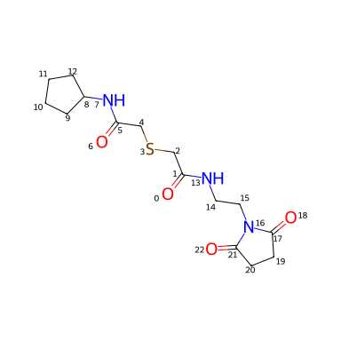 O=C(CSCC(=O)NC1CCCC1)NCCN1C(=O)CCC1=O